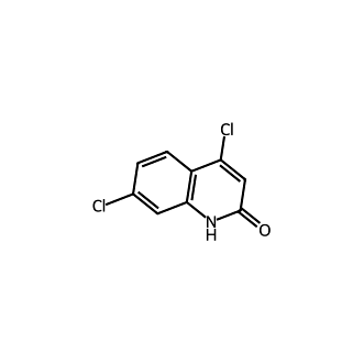 O=c1cc(Cl)c2ccc(Cl)cc2[nH]1